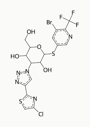 OCC1OC(Sc2cnc(C(F)(F)F)c(Br)c2)C(O)C(n2cc(-c3nc(Cl)cs3)nn2)C1O